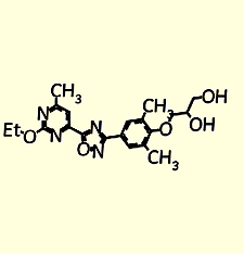 CCOc1nc(C)cc(-c2nc(-c3cc(C)c(OCC(O)CO)c(C)c3)no2)n1